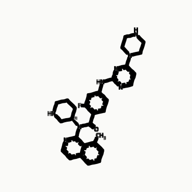 Cc1cccc2ccnc(N(C(=O)c3ccc(Nc4nccc(N5CCNCC5)n4)cc3F)[C@@H]3CCCNC3)c12